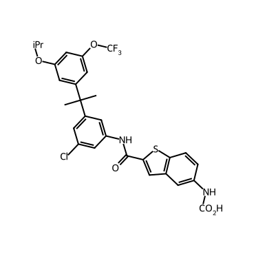 CC(C)Oc1cc(OC(F)(F)F)cc(C(C)(C)c2cc(Cl)cc(NC(=O)c3cc4cc(NC(=O)O)ccc4s3)c2)c1